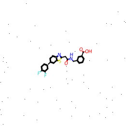 O=C(Cc1nc2ccc(-c3ccc(F)c(F)c3)cc2s1)NCc1cccc(C(=O)O)c1